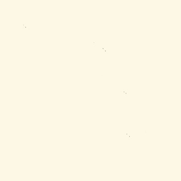 N#Cc1ccc(CC(=O)NC2CCN(CCN(c3ccccc3)c3ccccc3)CC2)cc1